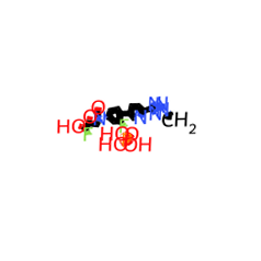 C=Cn1nnc(-c2ccc(-c3ccc(N4CC(C(O)F)OC4=O)cc3F)cn2)n1.O=P(O)(O)O